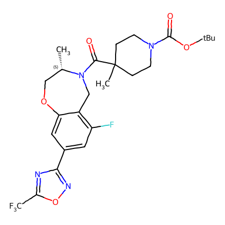 C[C@H]1COc2cc(-c3noc(C(F)(F)F)n3)cc(F)c2CN1C(=O)C1(C)CCN(C(=O)OC(C)(C)C)CC1